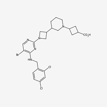 O=C(O)C1CC(N2CCCC(C3CN(c4ncc(Br)c(NCc5ccc(Cl)cc5Cl)n4)C3)C2)C1